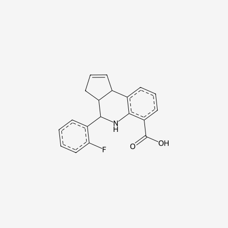 O=C(O)c1cccc2c1NC(c1ccccc1F)C1CC=CC21